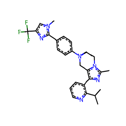 Cc1nc(-c2cccnc2C(C)C)c2n1CCN(c1ccc(-c3nc(C(F)(F)F)cn3C)cc1)C2